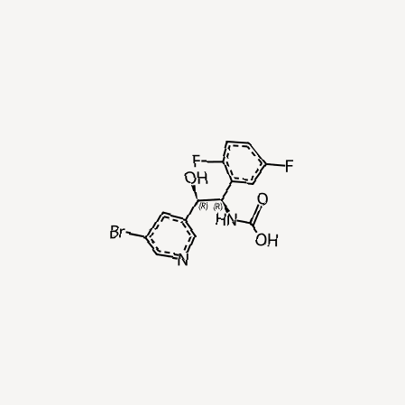 O=C(O)N[C@H](c1cc(F)ccc1F)[C@H](O)c1cncc(Br)c1